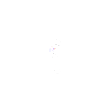 Cc1cccc(S(=O)(=O)Nc2ccc(OCc3ccccc3)cc2)c1